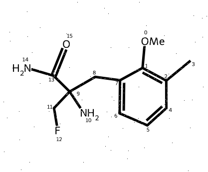 COc1c(C)cccc1CC(N)(CF)C(N)=O